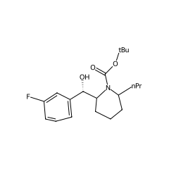 CCCC1CCCC([C@@H](O)c2cccc(F)c2)N1C(=O)OC(C)(C)C